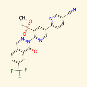 CCS(=O)(=O)c1cc(-c2ccc(C#N)cn2)cnc1-n1ncc2ccc(C(F)(F)F)cc2c1=O